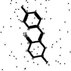 Cc1ccc(/C=C2/CC(F)CCC2=O)cc1